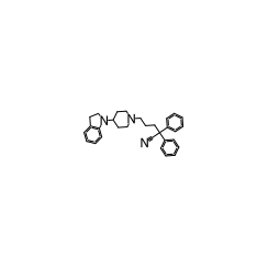 N#CC(CCCN1CCC(N2CCc3ccccc32)CC1)(c1ccccc1)c1ccccc1